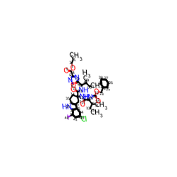 CCCOC(=O)c1noc([C@@H](NC(=O)[C@@]2(NC(=O)[C@@H](NC(=O)OCc3ccccc3)C(C)CC)CCc3[nH]c4c(I)cc(Cl)cc4c3C2)C(C)CC)n1